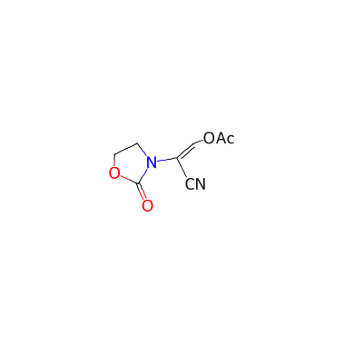 CC(=O)O/C=C(\C#N)N1CCOC1=O